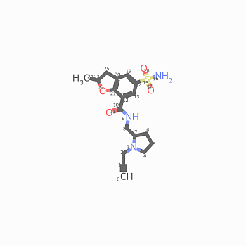 C#CCN1CCCC1CNC(=O)c1cc(S(N)(=O)=O)cc2c1OC(C)C2